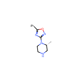 CC(C)c1nc(N2CCNC[C@H]2C)no1